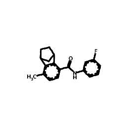 Cc1ccc(C(=O)Nc2cccc(F)c2)c2c1C1CCC2C1